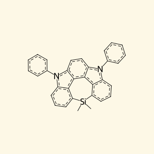 C[Si]1(C)c2cccc3c2c2c4c5c1cccc5n(-c1ccccc1)c4ccc2n3-c1ccccc1